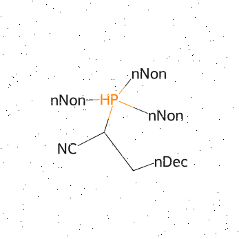 CCCCCCCCCCCC(C#N)[PH](CCCCCCCCC)(CCCCCCCCC)CCCCCCCCC